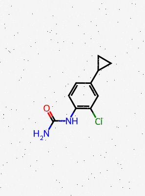 NC(=O)Nc1ccc(C2CC2)cc1Cl